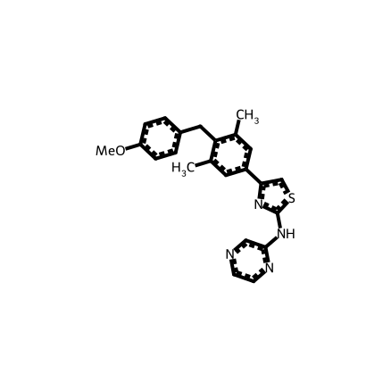 COc1ccc(Cc2c(C)cc(-c3csc(Nc4cnccn4)n3)cc2C)cc1